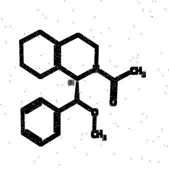 COC(c1ccccc1)[C@@H]1C2=C(CCCC2)CCN1C(C)=O